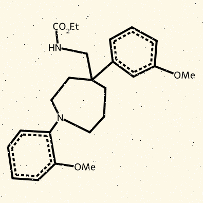 CCOC(=O)NCC1(c2cccc(OC)c2)CCCN(c2ccccc2OC)CC1